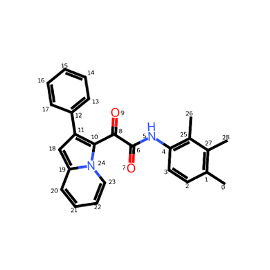 Cc1ccc(NC(=O)C(=O)c2c(-c3ccccc3)cc3ccccn23)c(C)c1C